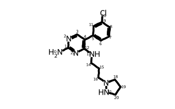 Nc1ncc(-c2cccc(Cl)c2)c(NCCCN2CCCN2)n1